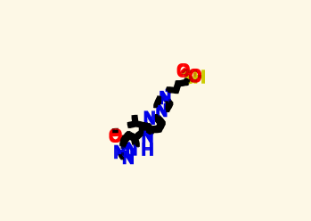 COc1cc(-c2[nH]c3ccc(N4CCN(CCCC[SH](=O)=O)CC4)nc3c2C(C)C)cn2ncnc12